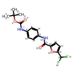 CC(C)(C)OC(=O)Nc1ccc(NC(=O)c2ccc(C(F)F)o2)cc1